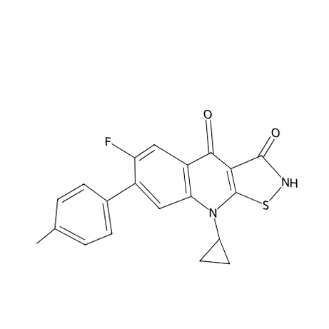 Cc1ccc(-c2cc3c(cc2F)c(=O)c2c(=O)[nH]sc2n3C2CC2)cc1